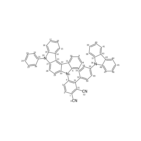 N#Cc1ccc(-n2c3ccccc3c3c4c5ccccc5n(-c5ccccc5)c4ccc32)c(-c2ccc(-n3c4ccccc4c4ccccc43)cc2)c1C#N